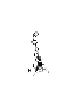 CN(C)C(=O)Nc1ccc(OCC2CC(c3ccc(CN4CCCC4)cc3)C2)nn1